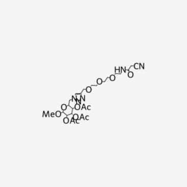 COC1OC(Cn2cc(COCCOCCOCCNC(=O)CC#N)nn2)C(OC(C)=O)C(OC(C)=O)C1OC(C)=O